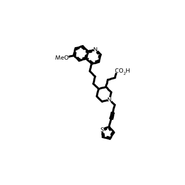 COc1ccc2nccc(CCCC3CCN(CC#Cc4cccs4)CC3CCC(=O)O)c2c1